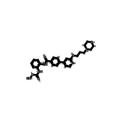 CC(C)(C)OC(=O)Nc1ccccc1NC(=O)c1ccc(-c2ccnc(OCCCN3CCOCC3)c2)cc1